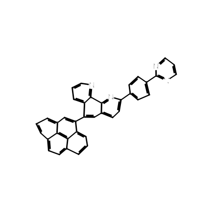 c1cnc(-c2ccc(-c3ccc4cc(-c5cc6cccc7ccc8cccc5c8c76)c5cccnc5c4n3)cc2)nc1